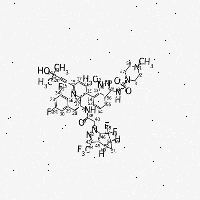 CN1CCN(S(=O)(=O)Nc2nn(C)c3c(-c4ccc(C#CC(C)(C)O)nc4[C@H](Cc4cc(F)cc(F)c4)NC(=O)Cn4nc(C(F)(F)F)c5c4C(F)(F)[C@@H]4C[C@H]54)cccc23)CC1